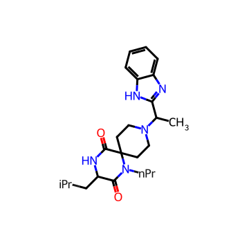 CCCN1C(=O)C(CC(C)C)NC(=O)C12CCN(C(C)c1nc3ccccc3[nH]1)CC2